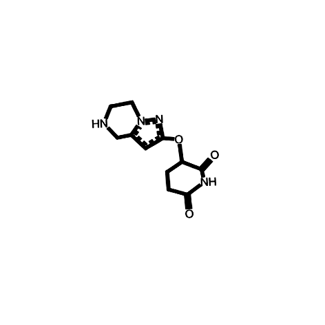 O=C1CCC(Oc2cc3n(n2)CCNC3)C(=O)N1